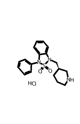 Cl.O=S1(=O)N(C[C@@H]2CCCNC2)c2ccccc2N1c1ccccc1